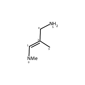 CN/C=C(\C)CN